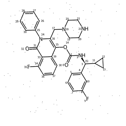 O=C(N[C@H](c1cccc(F)c1)C1CC1)Oc1c(CN2CCNCC2)n(-c2ccccc2)c(=O)c2c(F)cccc12